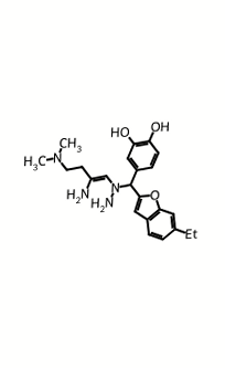 CCc1ccc2cc(C(c3ccc(O)c(O)c3)N(N)/C=C(\N)CCN(C)C)oc2c1